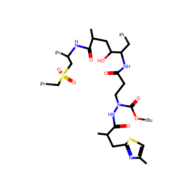 Cc1csc(CC(C)C(=O)NN(CCC(=O)NC(CC(C)C)C(O)CC(C)C(=O)NC(CS(=O)(=O)CC(C)C)C(C)C)C(=O)OC(C)(C)C)n1